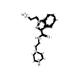 CCCn1nc(C(=O)NCCN2CCNCC2)c2ccccc21